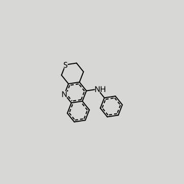 c1ccc(Nc2c3c(nc4ccccc24)CSCC3)cc1